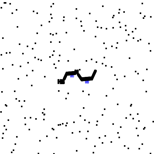 C/C=C\N=C/S